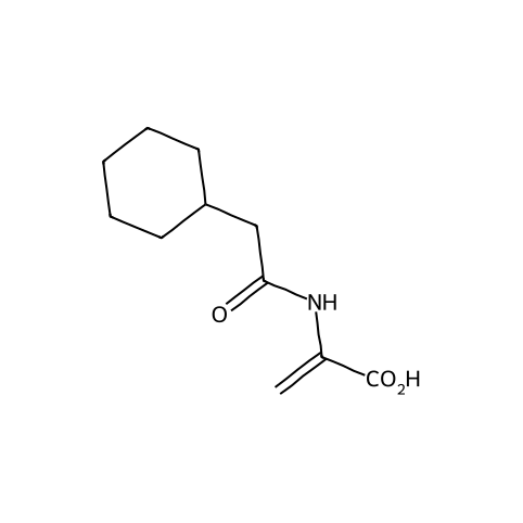 C=C(NC(=O)CC1CCCCC1)C(=O)O